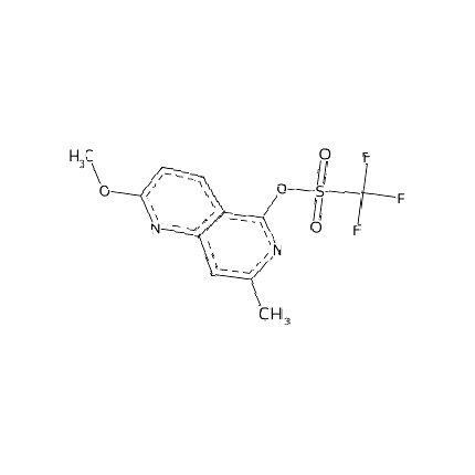 COc1ccc2c(OS(=O)(=O)C(F)(F)F)nc(C)cc2n1